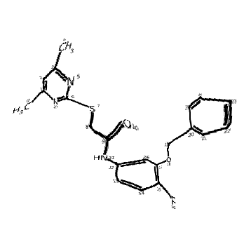 Cc1cc(C)nc(SCC(=O)Nc2ccc(F)c(OCc3ccccc3)c2)n1